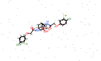 O=C(COc1ccc(Cl)c(F)c1)NC1=C2CC(NC(=O)COc3ccc(Cl)c(F)c3)(C[C@@H]1O)[C@@H]2O